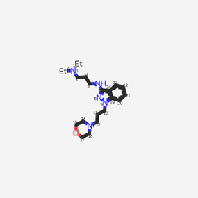 CCN(CC)CCCNc1nn(CCCN2CCOCC2)c2ccccc12